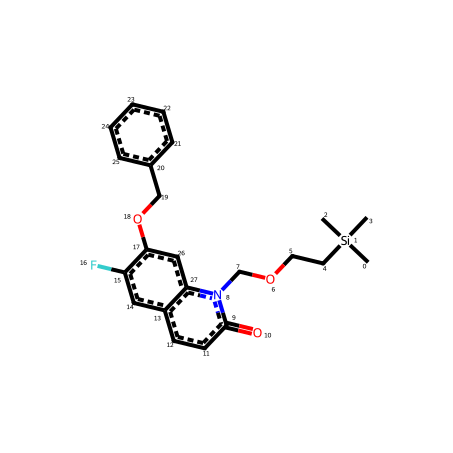 C[Si](C)(C)CCOCn1c(=O)ccc2cc(F)c(OCc3ccccc3)cc21